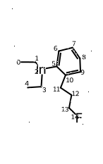 C[CH2][In]([CH2]C)[c]1ccccc1CCCF